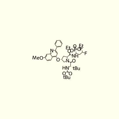 CCOP(=O)(OCC)C(CC(F)F)NC(=O)[C@@H]1C[C@@H](Oc2cc(-c3ccccc3)nc3cc(OC)ccc23)CN1C(=O)[C@@H](NC(=O)OC(C)(C)C)C(C)(C)C